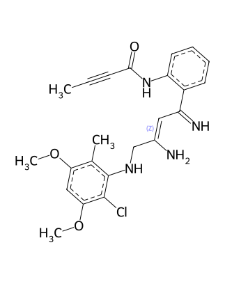 CC#CC(=O)Nc1ccccc1C(=N)/C=C(\N)CNc1c(C)c(OC)cc(OC)c1Cl